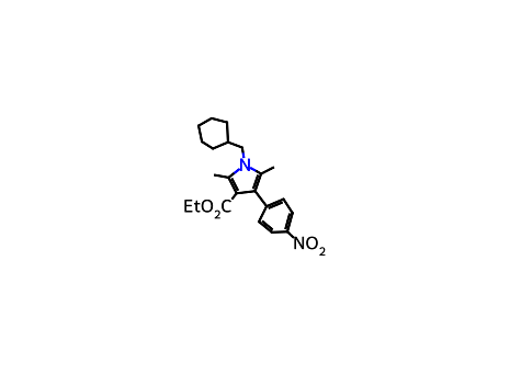 CCOC(=O)c1c(-c2ccc([N+](=O)[O-])cc2)c(C)n(CC2CCCCC2)c1C